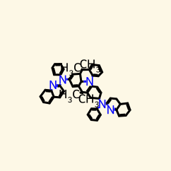 CC1(C)C2=CC(N(c3ccccc3)c3ccc4ccccc4n3)=CC3C2N(C2=C1CC(N(C1=CCC4C=CC=CC4=N1)c1ccccc1)C=C2)c1ccccc1C3(C)C